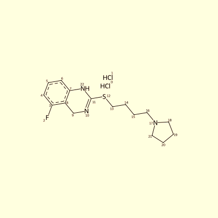 Cl.Cl.Fc1cccc2c1CN=C(SCCCCN1CCCC1)N2